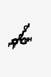 CCOCCCO[C@@H](c1ccc(F)c(F)c1)[C@@H]1CCCNC1